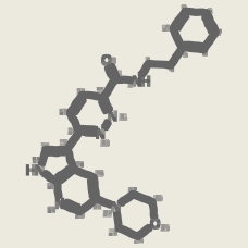 O=C(NCCc1ccccc1)c1ccc(-c2c[nH]c3ncc(N4CCOCC4)cc23)nn1